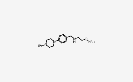 CCCCOCCNCc1ccc(N2CCN(C(C)C)CC2)cc1